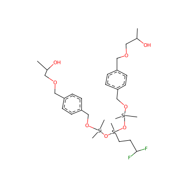 CC(O)COCc1ccc(CO[Si](C)(C)O[Si](C)(CCC(F)F)O[Si](C)(C)OCc2ccc(COCC(C)O)cc2)cc1